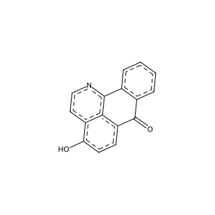 O=C1c2ccccc2-c2nccc3c(O)ccc1c23